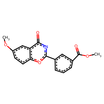 COC(=O)c1cccc(-c2nc(=O)c3cc(OC)ccc3o2)c1